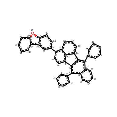 c1ccc(-c2c3c(c(-c4ccccc4)c4ccccc24)-c2ccc(-c4ccc5oc6ccccc6c5c4)c4cccc-3c24)cc1